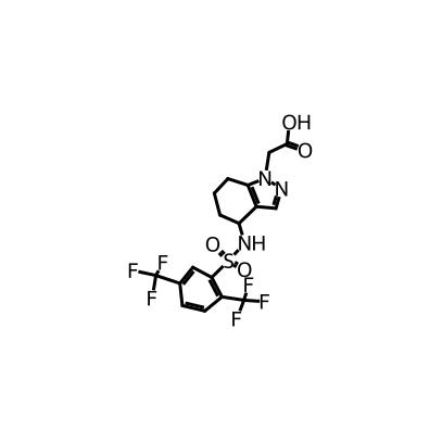 O=C(O)Cn1ncc2c1CCCC2NS(=O)(=O)c1cc(C(F)(F)F)ccc1C(F)(F)F